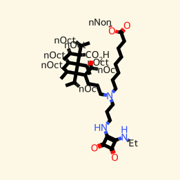 CCCCCCCCCOC(=O)CCCCCCCN(CCCNc1c(NCC)c(=O)c1=O)CCCC(C(C)CCCCCCCC)C(C(C)CCCCCCCC)(C(C)CCCCCCCC)C(C(C)CCCCCCCC)(C(C)CCCCCCCC)C(C(=O)O)(C(C)CCCCCCCC)C(C)CCCCCCCC